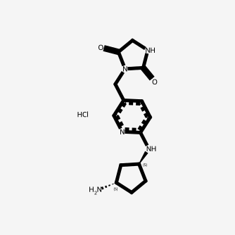 Cl.N[C@H]1CC[C@H](Nc2ccc(CN3C(=O)CNC3=O)cn2)C1